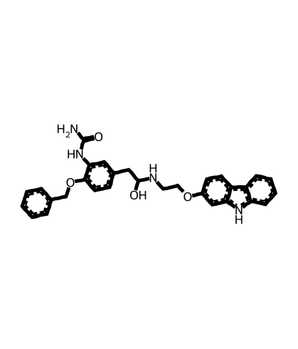 NC(=O)Nc1cc(CC(O)NCCOc2ccc3c(c2)[nH]c2ccccc23)ccc1OCc1ccccc1